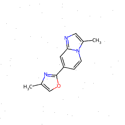 Cc1coc(-c2ccn3c(C)cnc3c2)n1